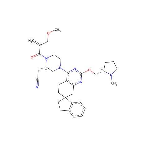 C=C(COC)C(=O)N1CCN(c2nc(OC[C@@H]3CCCN3C)nc3c2CCC2(CCc4ccccc42)C3)C[C@@H]1CC#N